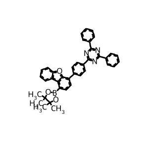 CC1(C)OB(c2ccc(-c3ccc(-c4nc(-c5ccccc5)nc(-c5ccccc5)n4)cc3)c3oc4ccccc4c23)OC1(C)C